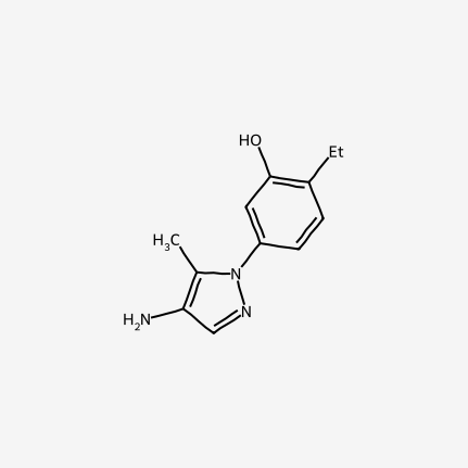 CCc1ccc(-n2ncc(N)c2C)cc1O